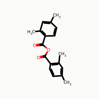 Cc1ccc(C(=O)OC(=O)c2ccc(C)cc2C)c(C)c1